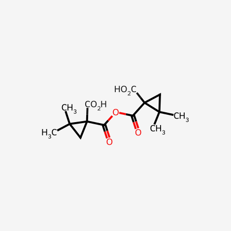 CC1(C)CC1(C(=O)O)C(=O)OC(=O)C1(C(=O)O)CC1(C)C